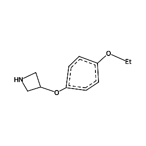 CCOc1ccc(OC2CNC2)cc1